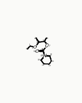 CCOC(C)C(C)OC(=O)N1CCCCC1